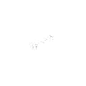 O=C(CN1CCCC(c2ccccc2)(c2ccccc2)C1=O)NC1CN(Cc2cccc(C(F)(F)F)c2F)C1